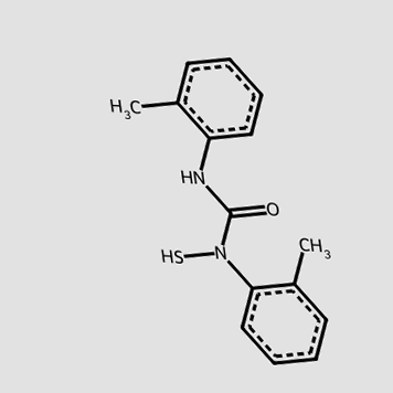 Cc1ccccc1NC(=O)N(S)c1ccccc1C